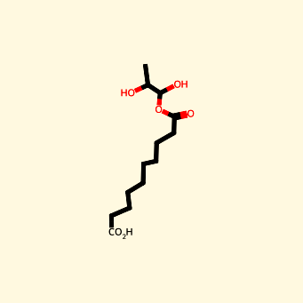 CC(O)C(O)OC(=O)CCCCCCCCC(=O)O